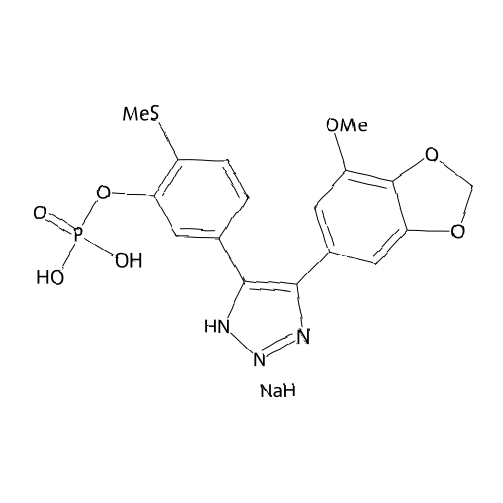 COc1cc(-c2nn[nH]c2-c2ccc(SC)c(OP(=O)(O)O)c2)cc2c1OCO2.[NaH]